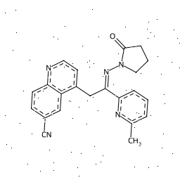 Cc1cccc(C(Cc2ccnc3ccc(C#N)cc23)=NN2CCCC2=O)n1